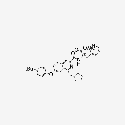 COC(=O)[C@H](Cc1cccnc1)NC(=O)c1cc2ccc(Oc3ccc(C(C)(C)C)cc3)cc2c(CC2CCCC2)n1